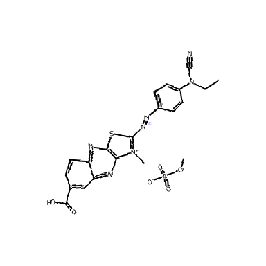 CCN(C#N)c1ccc(/N=N/c2sc3nc4ccc(C(=O)O)cc4nc3[n+]2C)cc1.COS(=O)(=O)[O-]